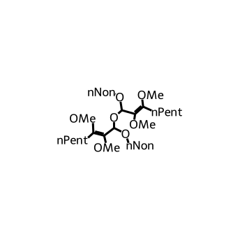 CCCCCCCCCOC(OC(OCCCCCCCCC)C(OC)=C(CCCCC)OC)C(OC)=C(CCCCC)OC